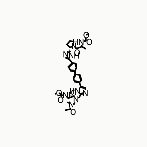 COC(=O)NCC(=O)N(Cc1ncc(-c2ccc(-c3ccc(-c4cnc([C@@H]5CCCN5C(=O)C(C)NC(=O)OC)[nH]4)cc3)cc2)[nH]1)CN(C)C(C)=O